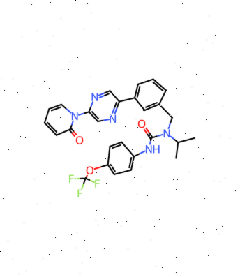 CC(C)N(Cc1cccc(-c2cnc(-n3ccccc3=O)cn2)c1)C(=O)Nc1ccc(OC(F)(F)F)cc1